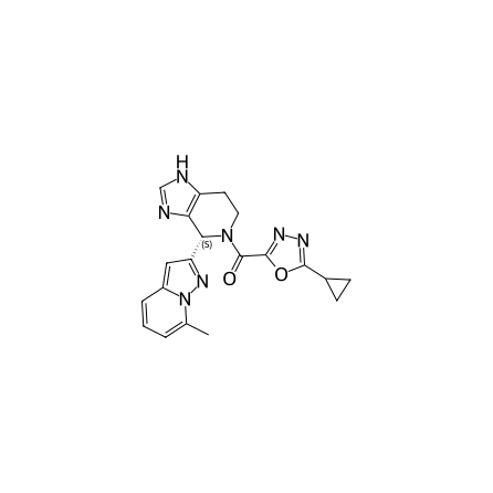 Cc1cccc2cc([C@@H]3c4nc[nH]c4CCN3C(=O)c3nnc(C4CC4)o3)nn12